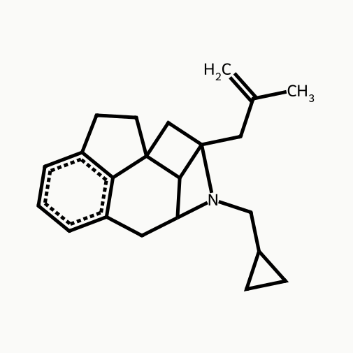 C=C(C)CC12CC34CCc5cccc(c53)CC(C41)N2CC1CC1